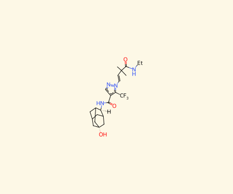 CCNC(=O)C(C)(C)/C=C/n1ncc(C(=O)N[C@H]2C3CC4CC2C[C@](O)(C4)C3)c1C(F)(F)F